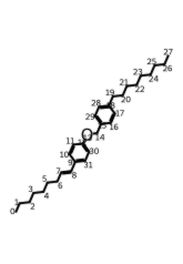 CCCCCCC/C=C/c1ccc(OCc2ccc(CCCCCCCCC)cc2)cc1